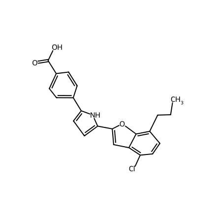 CCCc1ccc(Cl)c2cc(-c3ccc(-c4ccc(C(=O)O)cc4)[nH]3)oc12